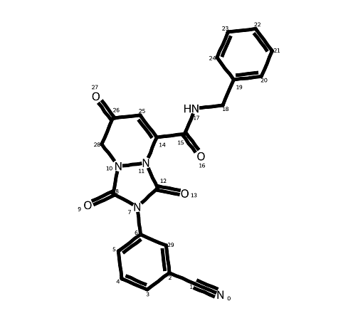 N#Cc1cccc(-n2c(=O)n3n(c2=O)C(C(=O)NCc2ccccc2)=CC(=O)C3)c1